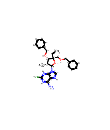 C=C[C@]1(COCc2ccccc2)O[C@@H](n2cnc3c(N)nc(F)nc32)[C@H](OC(C)=O)[C@@H]1OCc1ccccc1